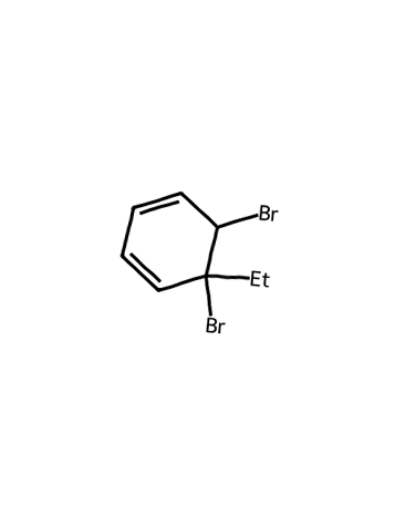 [CH2]CC1(Br)C=CC=CC1Br